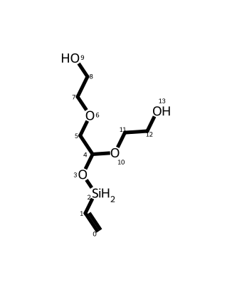 C=C[SiH2]OC(COCCO)OCCO